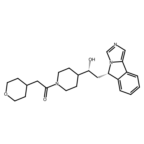 O=C(CC1CCOCC1)N1CCC([C@H](O)C[C@H]2c3ccccc3-c3cncn32)CC1